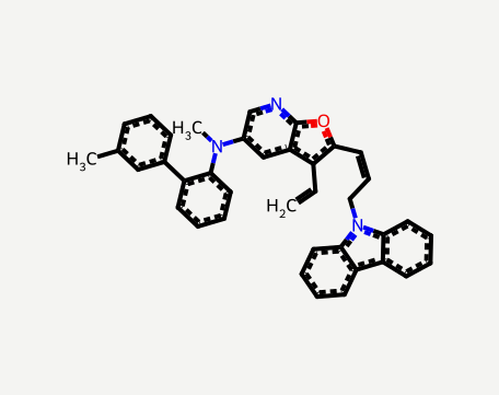 C=Cc1c(/C=C\Cn2c3ccccc3c3ccccc32)oc2ncc(N(C)c3ccccc3-c3cccc(C)c3)cc12